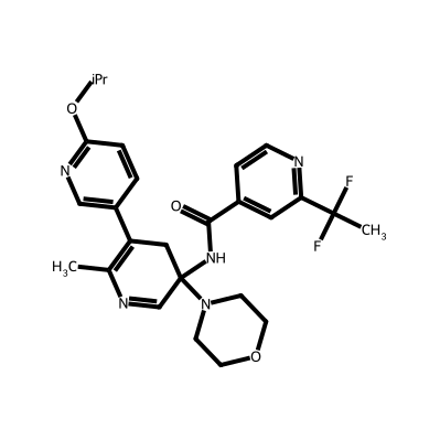 CC1=C(c2ccc(OC(C)C)nc2)CC(NC(=O)c2ccnc(C(C)(F)F)c2)(N2CCOCC2)C=N1